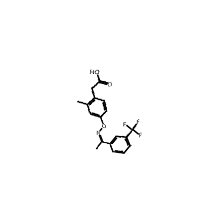 CC(=NOc1ccc(CC(=O)O)c(C)c1)c1cccc(C(F)(F)F)c1